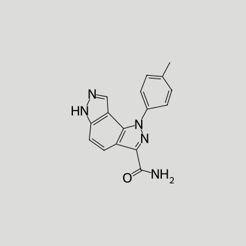 Cc1ccc(-n2nc(C(N)=O)c3ccc4[nH]ncc4c32)cc1